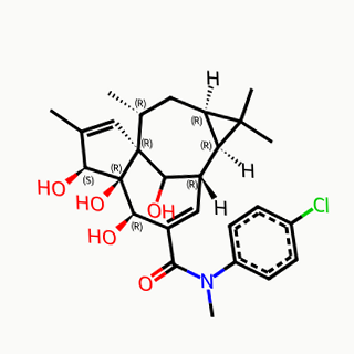 CC1=C[C@]23C(O)[C@@H](C=C(C(=O)N(C)c4ccc(Cl)cc4)[C@@H](O)[C@]2(O)[C@H]1O)[C@H]1[C@@H](C[C@H]3C)C1(C)C